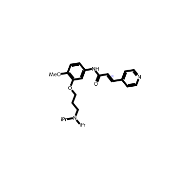 COc1ccc(NC(=O)/C=C/c2ccncc2)cc1OCCCN(C(C)C)C(C)C